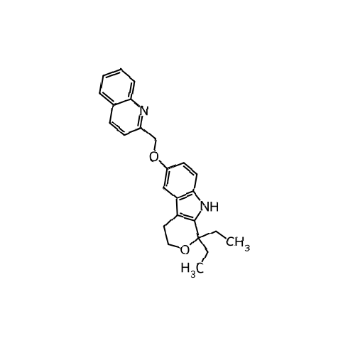 CCC1(CC)OCCc2c1[nH]c1ccc(OCc3ccc4ccccc4n3)cc21